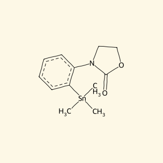 [CH3][Sn]([CH3])([CH3])[c]1ccccc1N1CCOC1=O